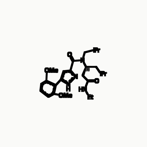 CCNC(=O)C[C@H](CC(C)C)N(CC(C)C)C(=O)c1cc(-c2c(OC)cccc2OC)[nH]n1